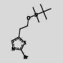 CC(C)(C)[Si](C)(C)OCCc1cnc(Br)s1